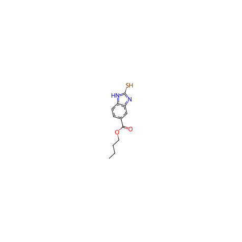 CCCCOC(=O)c1ccc2[nH]c(S)nc2c1